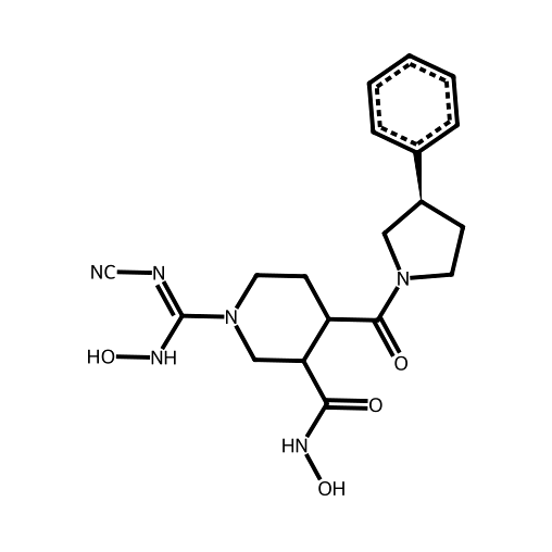 N#C/N=C(\NO)N1CCC(C(=O)N2CC[C@H](c3ccccc3)C2)C(C(=O)NO)C1